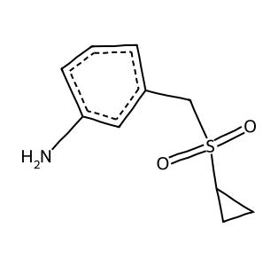 Nc1cccc(CS(=O)(=O)C2CC2)c1